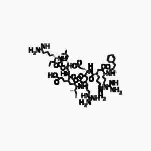 CCC(=O)[C@H](CCCCC(=N)N)NC(=O)[C@@H](CC(=O)CNC(=O)[C@H](CCC(=O)O)CC(=O)[C@@H](NC(=O)[C@H](CCCNC(=N)N)CC(=O)[C@H](CCC(=O)O)NC(=O)[C@H](CCCCN)CC(=O)[C@H](CCCNC(=N)N)NC(=O)[C@@H](C)Cc1ccccc1)[C@@H](C)CC)CC(C)C